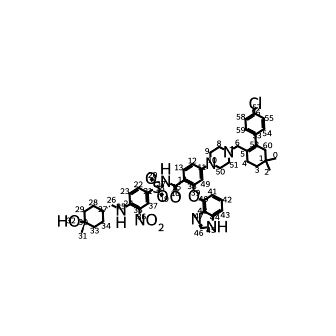 CC1(C)CCC(CN2CCN(c3ccc(C(=O)NS(=O)(=O)c4ccc(NC[C@H]5CC[C@@](C)(O)CC5)c([N+](=O)[O-])c4)c(Oc4cccc5[nH]cnc45)c3)CC2)=C(c2ccc(Cl)cc2)C1